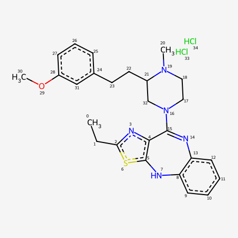 CCc1nc2c(s1)Nc1ccccc1N=C2N1CCN(C)C(CCc2cccc(OC)c2)C1.Cl.Cl